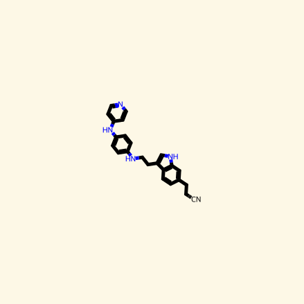 N#CCCc1ccc2c(CCNc3ccc(Nc4ccncc4)cc3)c[nH]c2c1